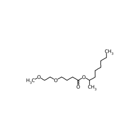 CCCCCCC(C)OC(=O)CCCOCCOC